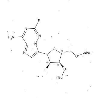 CCCCOC[C@H]1OC(c2cnc3c(N)nc(F)nn23)[C@H](F)[C@@H]1OCCCC